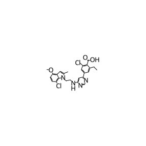 CCc1cc(-c2cc(NCCn3c(C)cc4c(OC)ccc(Cl)c43)ncn2)cc(Cl)c1C(=O)O